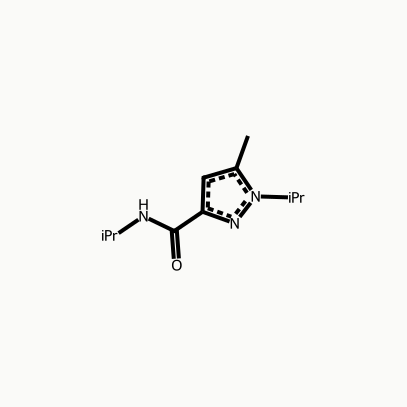 Cc1cc(C(=O)NC(C)C)nn1C(C)C